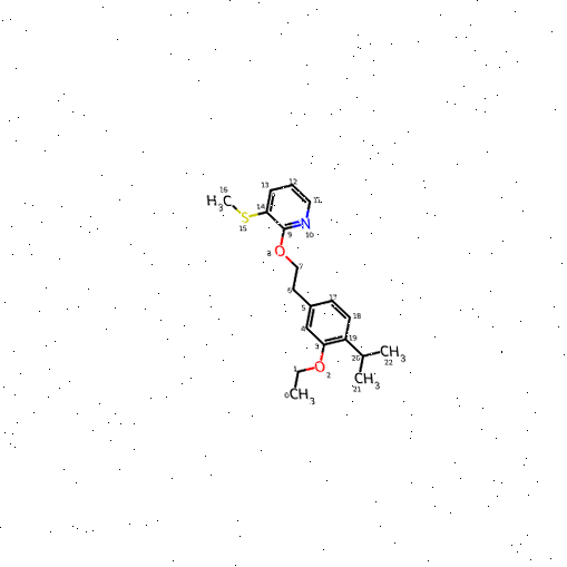 CCOc1cc(CCOc2ncccc2SC)ccc1C(C)C